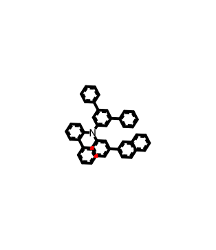 c1ccc(-c2cc(-c3ccccc3)cc(N(c3cccc(-c4ccc5ccccc5c4)c3)c3ccccc3-c3ccccc3)c2)cc1